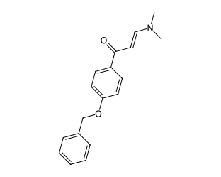 CN(C)C=CC(=O)c1ccc(OCc2ccccc2)cc1